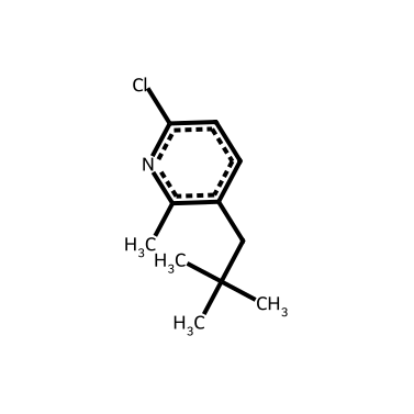 Cc1nc(Cl)ccc1CC(C)(C)C